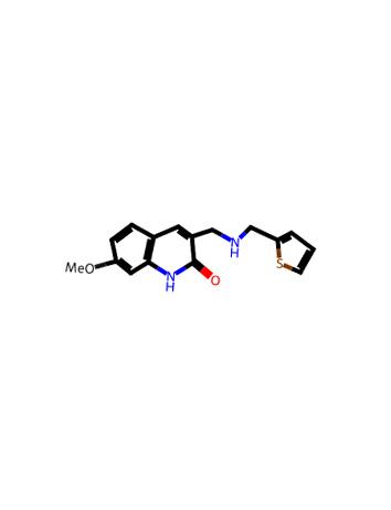 COc1ccc2cc(CNCc3cccs3)c(=O)[nH]c2c1